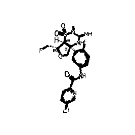 CN1C(=N)N[C@@]2(c3cc(NC(=O)c4ccc(Cl)cn4)ccc3F)CO[C@H](CF)[C@H]2S1(=O)=O